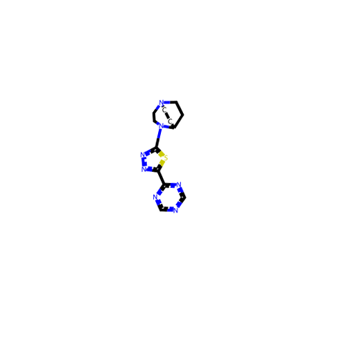 c1ncnc(-c2nnc(N3CCN4CCC3CC4)s2)n1